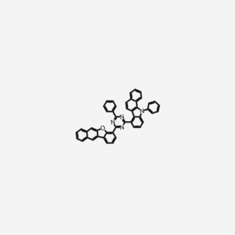 c1ccc(-c2nc(-c3cccc4c3oc3cc5ccccc5cc34)nc(-c3cccc4c3c3ccc5ccccc5c3n4-c3ccccc3)n2)cc1